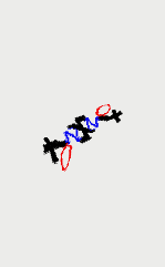 CC(C)(C)CC(=O)N1CCC2(CCN(C(=O)CC(C)(C)C)C2)C1